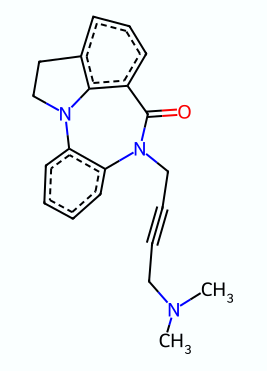 CN(C)CC#CCN1C(=O)c2cccc3c2N(CC3)c2ccccc21